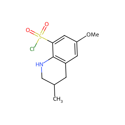 COc1cc2c(c(S(=O)(=O)Cl)c1)NCC(C)C2